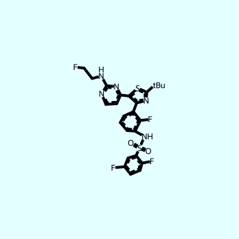 CC(C)(C)c1nc(-c2cccc(NS(=O)(=O)c3cc(F)ccc3F)c2F)c(-c2ccnc(NCCF)n2)s1